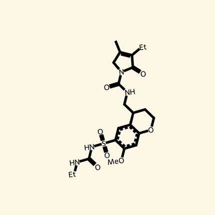 CCNC(=O)NS(=O)(=O)c1cc2c(cc1OC)OCCC2CNC(=O)N1CC(C)=C(CC)C1=O